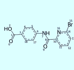 O=C(O)c1ccc(NC(=O)c2cccc(Br)n2)cc1